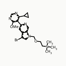 COc1ncnc(C2CC2)c1-c1cc2c(Br)cn(COCC[Si](C)(C)C)c2cn1